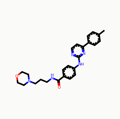 Cc1ccc(-c2ccnc(Nc3ccc(C(=O)NCCCN4CCOCC4)cc3)n2)cc1